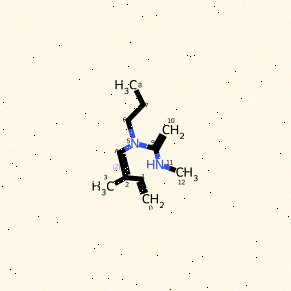 C=C/C(C)=C\N(CCC)C(=C)NC